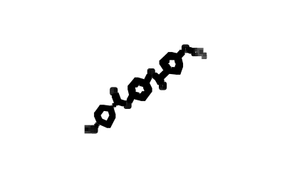 COc1ccc(C(=O)Oc2ccc(OC(=O)[C@H]3CC[C@@H](O)CC3)cc2)cc1